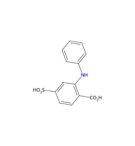 O=C(O)c1ccc(S(=O)(=O)O)cc1Nc1ccccc1